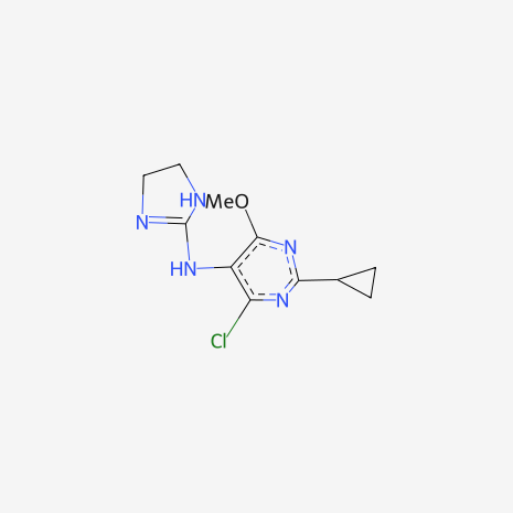 COc1nc(C2CC2)nc(Cl)c1NC1=NCCN1